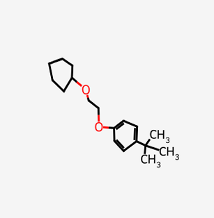 CC(C)(C)c1ccc(OCCOC2CCCCC2)cc1